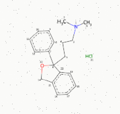 CN(C)CCCC1(c2ccccc2)OCc2ccccc21.Cl